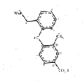 CNCc1cccnc1Oc1ccc(C(=O)O)cc1C